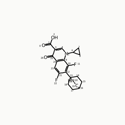 O=C(O)c1cn(C2CC2)c2c(F)c(C34CCC(CC3)CN4)c(F)cc2c1=O